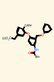 CCOC(=O)Cc1ccc(OC)c(Oc2ccc(NC(=O)C(C)(C)C)cc2COc2ccccc2)c1